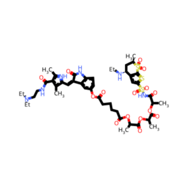 CCN[C@@H]1C[C@@H](C)S(=O)(=O)c2sc(S(=O)(=O)NC(=O)C(C)OC(=O)C(C)OC(=O)C(C)OC(=O)CCCCC(=O)Oc3ccc4c(c3)/C(=C/c3[nH]c(C)c(C(=O)NCCN(CC)CC)c3C)C(=O)N4)cc21